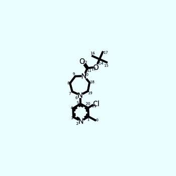 Cc1nccc(N2CCCN(C(=O)OC(C)(C)C)CC2)c1Cl